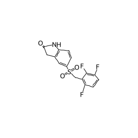 O=C1Cc2cc(S(=O)(=O)Cc3c(F)ccc(F)c3F)ccc2N1